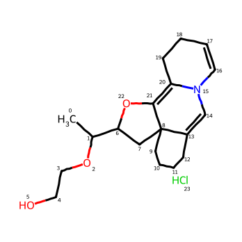 CC(OCCO)C1CC23CCCCC2=CN2C=CCCC2=C3O1.Cl